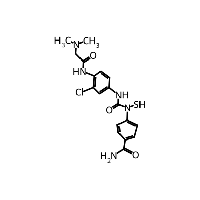 CN(C)CC(=O)Nc1ccc(NC(=O)N(S)c2ccc(C(N)=O)cc2)cc1Cl